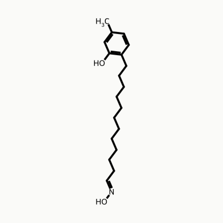 Cc1ccc(CCCCCCCCCCCC=NO)c(O)c1